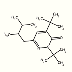 CC(C)C(C)Cc1cc(C(C)(C)C)c(=O)n(C(C)(C)C)n1